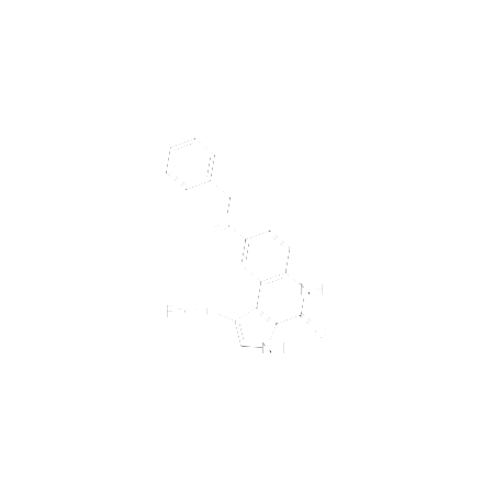 CCOC(=O)c1c[nH]c2c(=O)[nH]c3ccc([S+]([O-])Cc4ccccc4)cc3c12